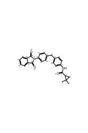 CC1(C)CC1C(=O)Nc1ccc(Cc2ccc(N3C(=O)c4ccccc4C3=O)cc2)cc1